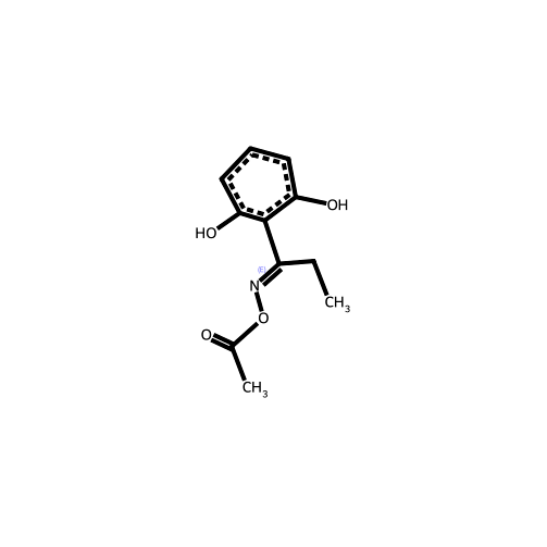 CC/C(=N\OC(C)=O)c1c(O)cccc1O